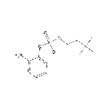 C[N+](C)(C)CCOP(=O)([O-])Oc1ccccc1N